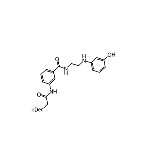 CCCCCCCCCCCC(=O)Nc1cccc(C(=O)NCCNc2cccc(O)c2)c1